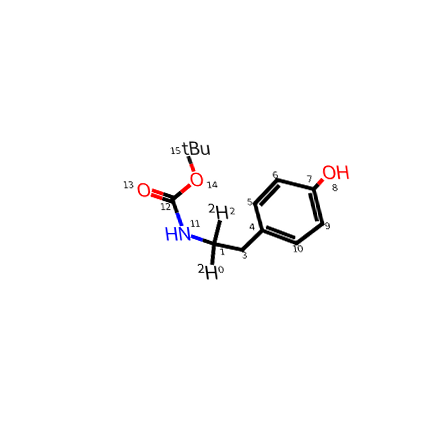 [2H]C([2H])(Cc1ccc(O)cc1)NC(=O)OC(C)(C)C